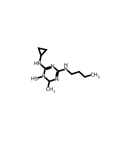 CCCCNC1=NC(C)N(S)C(NC2CC2)=N1